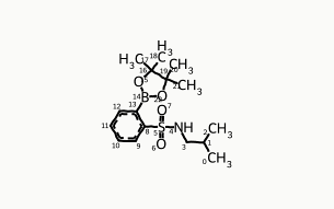 CC(C)CNS(=O)(=O)c1ccccc1B1OC(C)(C)C(C)(C)O1